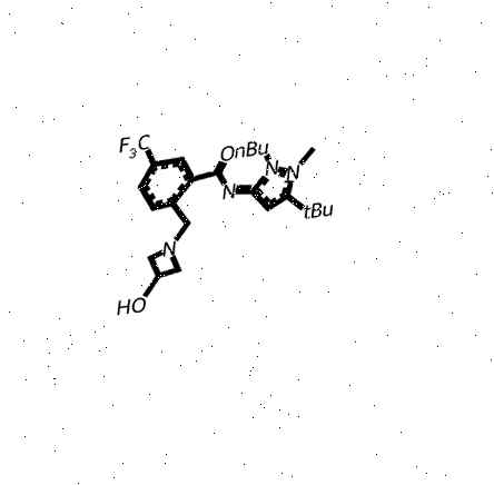 CCCCn1c(=NC(=O)c2cc(C(F)(F)F)ccc2CN2CC(O)C2)cc(C(C)(C)C)n1C